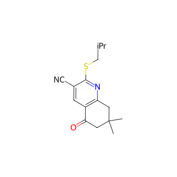 CC(C)CSc1nc2c(cc1C#N)C(=O)CC(C)(C)C2